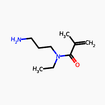 C=C(C)C(=O)N(CC)CCCN